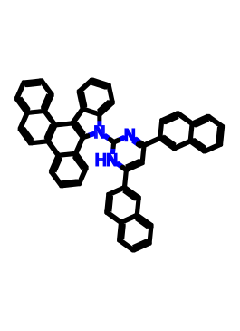 C1=C(c2ccc3ccccc3c2)NC(n2c3ccccc3c3c4c5ccccc5ccc4c4ccccc4c32)N=C1c1ccc2ccccc2c1